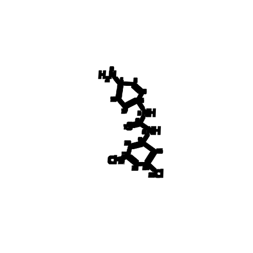 Nc1ccc(NC(=S)Nc2cc(Cl)cc(Cl)c2)cc1